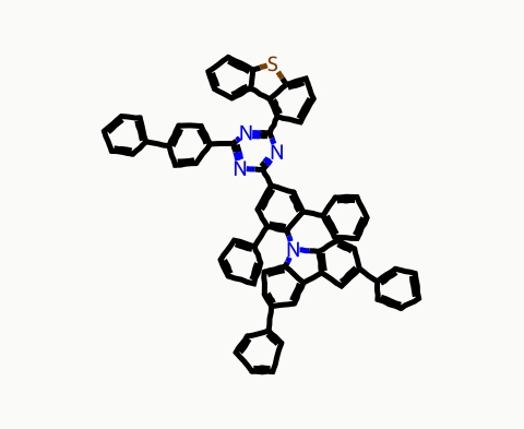 c1ccc(-c2ccc(-c3nc(-c4cc(-c5ccccc5)c(-n5c6ccc(-c7ccccc7)cc6c6cc(-c7ccccc7)ccc65)c(-c5ccccc5)c4)nc(-c4cccc5sc6ccccc6c45)n3)cc2)cc1